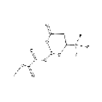 COC(=O)C(=O)OB1OC(=O)CC(C(F)(F)F)O1